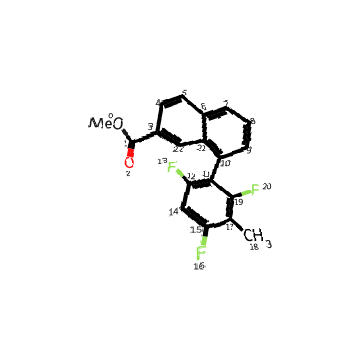 COC(=O)c1ccc2cccc(-c3c(F)cc(F)c(C)c3F)c2c1